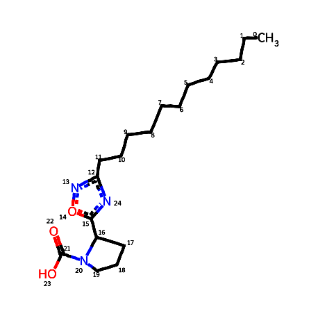 CCCCCCCCCCCCc1noc(C2CCCN2C(=O)O)n1